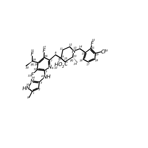 Cc1cc(Nc2nc(C[C@@]3(C(=O)O)CCN(Cc4cccc(Cl)c4F)[C@H](C)C3)c(F)c([C@@H](C)F)c2F)n[nH]1